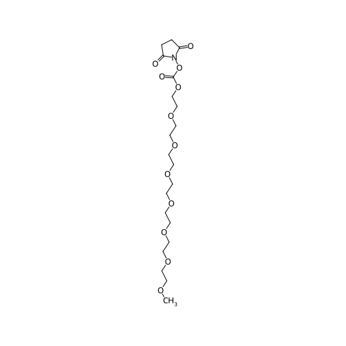 COCCOCCOCCOCCOCCOCCOCCOC(=O)ON1C(=O)CCC1=O